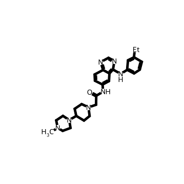 CCc1cccc(Nc2ncnc3ccc(NC(=O)CN4CCC(N5CCN(C)CC5)CC4)cc23)c1